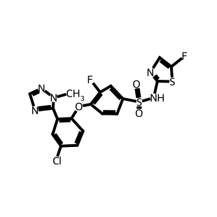 Cn1ncnc1-c1cc(Cl)ccc1Oc1ccc(S(=O)(=O)Nc2ncc(F)s2)cc1F